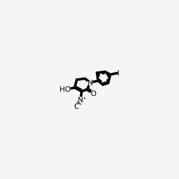 [C-]#[N+]C1=C(O)CCN(c2ccc(I)cc2)C1=O